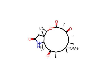 CC[C@H]1OC(=O)[C@H](C)C(=O)[C@H](C)[C@@H](C)[C@](C)(OC)C[C@@H](C)C(=O)[C@H](C)[C@H]2NC(=O)C[C@@]21C